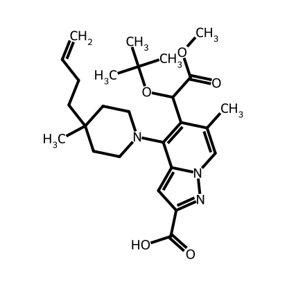 C=CCCC1(C)CCN(c2c(C(OC(C)(C)C)C(=O)OC)c(C)cn3nc(C(=O)O)cc23)CC1